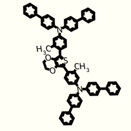 Cc1cc(N(c2ccc(-c3ccccc3)cc2)c2ccc(-c3ccccc3)cc2)ccc1-c1sc(-c2ccc(N(c3ccc(-c4ccccc4)cc3)c3ccc(-c4ccccc4)cc3)cc2C)c2c1OCCO2